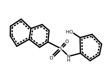 O=S(=O)(Nc1ccccc1O)c1ccc2ccccc2c1